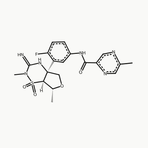 Cc1cnc(C(=O)Nc2ccc(F)c([C@]34CO[C@H](C)[C@H]3S(=O)(=O)N(C)C(=N)N4)c2)cn1